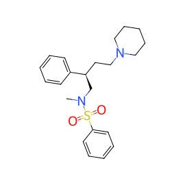 CN(C[C@H](CCN1CCCCC1)c1ccccc1)S(=O)(=O)c1ccccc1